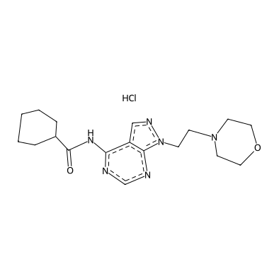 Cl.O=C(Nc1ncnc2c1cnn2CCN1CCOCC1)C1CCCCC1